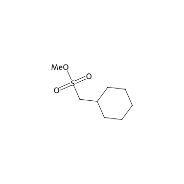 COS(=O)(=O)CC1CCCCC1